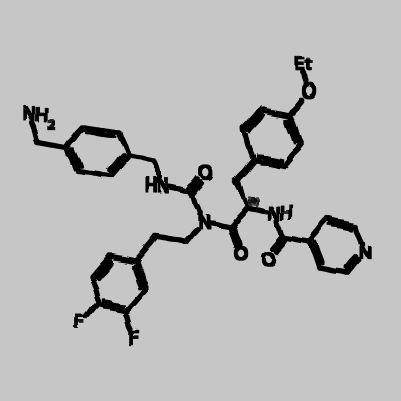 CCOc1ccc(C[C@@H](NC(=O)c2ccncc2)C(=O)N(CCc2ccc(F)c(F)c2)C(=O)NCc2ccc(CN)cc2)cc1